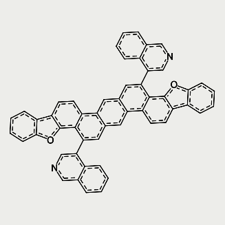 c1ccc2c(-c3cc4cc5c(cc(-c6cncc7ccccc67)c6c5ccc5c7ccccc7oc56)cc4c4ccc5c6ccccc6oc5c34)cncc2c1